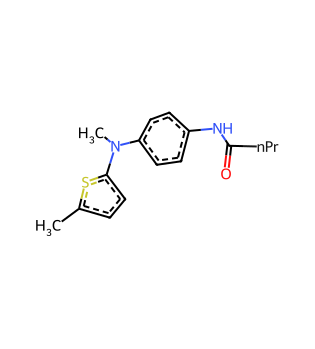 CCCC(=O)Nc1ccc(N(C)c2ccc(C)s2)cc1